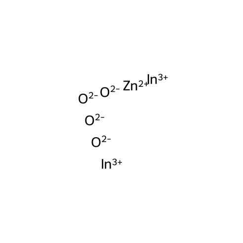 [In+3].[In+3].[O-2].[O-2].[O-2].[O-2].[Zn+2]